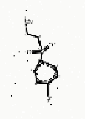 CC(C)(C)CCS(=O)(=O)c1ccc(Br)cc1